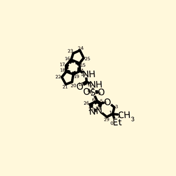 CCC1(C)COc2c(S(=O)(=O)NC(=O)Nc3c4c(cc5c3CCC5)CCC4)cnn2C1